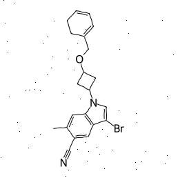 Cc1cc2c(cc1C#N)c(Br)cn2C1CC(OCC2=CC=CCC2)C1